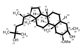 CO[C@H]1C[C@@]2(C)[C@@H](CC[C@@H]3[C@@H]2CC[C@]2(C)[C@@H]([C@H](C)CCC(C)(C)O)CC[C@@H]32)C[C@@]1(C)O